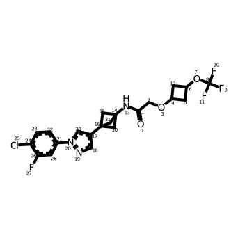 O=C(COC1CC(OC(F)(F)F)C1)NC12CC(c3cnn(-c4ccc(Cl)c(F)c4)c3)(C1)C2